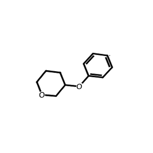 [c]1ccc(OC2CCCOC2)cc1